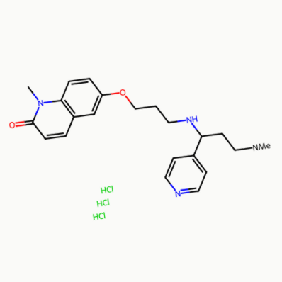 CNCCC(NCCCOc1ccc2c(ccc(=O)n2C)c1)c1ccncc1.Cl.Cl.Cl